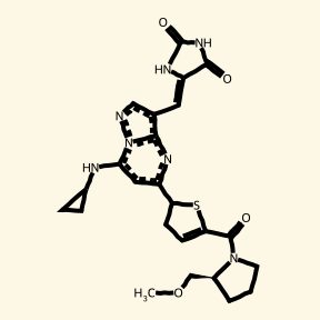 COC[C@@H]1CCCN1C(=O)C1=CCC(c2cc(NC3CC3)n3ncc(/C=C4\NC(=O)NC4=O)c3n2)S1